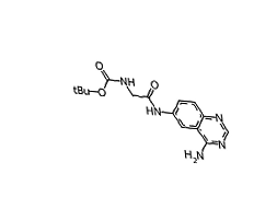 CC(C)(C)OC(=O)NCC(=O)Nc1ccc2ncnc(N)c2c1